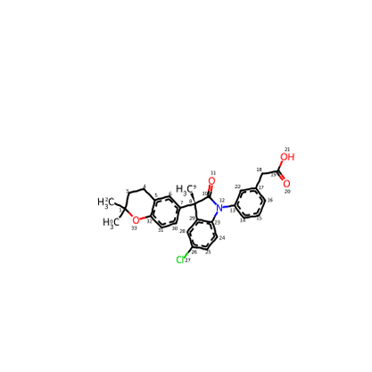 CC1(C)CCc2cc([C@]3(C)C(=O)N(c4cccc(CC(=O)O)c4)c4ccc(Cl)cc43)ccc2O1